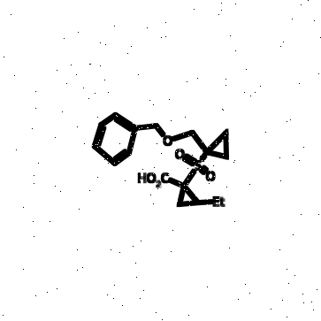 CCC1CC1(C(=O)O)S(=O)(=O)C1(COCc2ccccc2)CC1